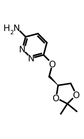 CC1(C)OC[C@H](COc2ccc(N)nn2)O1